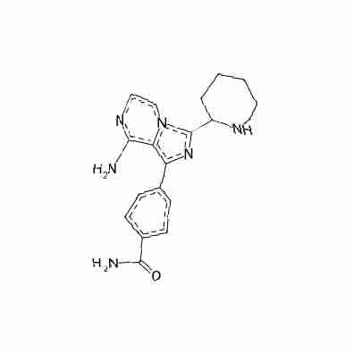 NC(=O)c1ccc(-c2nc(C3CCCCCN3)n3ccnc(N)c23)cc1